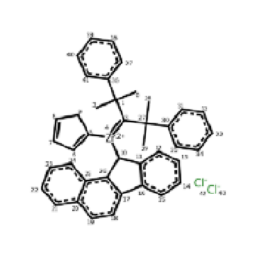 CC(C)([C](=[Zr+2]([C]1=CC=CC1)[CH]1c2ccccc2-c2ccc3ccccc3c21)C(C)(C)c1ccccc1)c1ccccc1.[Cl-].[Cl-]